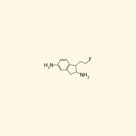 Nc1ccc2c(c1)CC(N)C2CCF